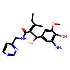 CC/C(C)=C(\C(=O)NCc1ccncn1)C(O)c1cc(N)c(O)c(OC)c1